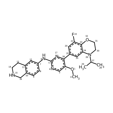 COc1cnc(Nc2ccc3c(c2)CCNC3)nc1-c1cc(F)c2c(c1)N(C(C)C)CCO2